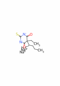 CCCC(C)C1(CC)C(=O)[N-]C(=S)[N-]C1=O.[Na+].[Na+]